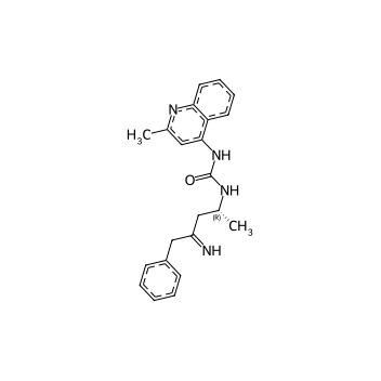 Cc1cc(NC(=O)N[C@H](C)CC(=N)Cc2ccccc2)c2ccccc2n1